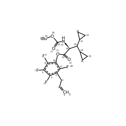 C=CCc1c(F)c(F)c(F)c(OC(=O)[C@@H](NC(=O)OC(C)(C)C)C(C2CC2)C2CC2)c1F